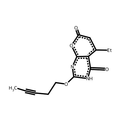 CC#CCCOc1nc2oc(=O)cc(CC)c2c(=O)[nH]1